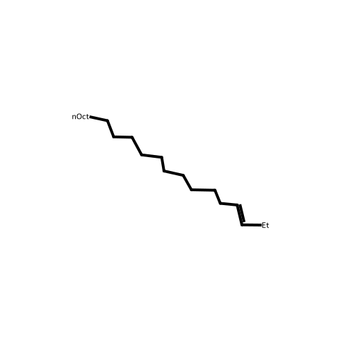 [CH2]C/C=C/CCCCCCCCCCCCCCCCC[CH2]